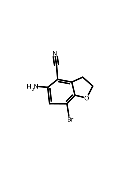 N#Cc1c(N)cc(Br)c2c1CCO2